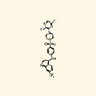 O=S(=O)(c1ccc(Nc2ccnc3cc(C(F)(F)F)ccc23)cc1)N1CCN(c2nc(Cl)cnc2Cl)CC1